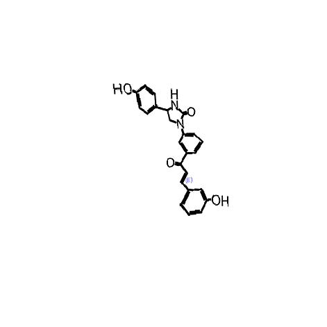 O=C(/C=C/c1cccc(O)c1)c1cccc(N2CC(c3ccc(O)cc3)NC2=O)c1